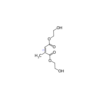 C/C(=C/C(=O)OCCO)C(=O)OCCO